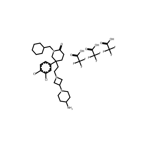 NC1CCN(C2CN(CCC3(c4ccc(Cl)c(Cl)c4)CCC(=O)N(CC4CCCCC4)C3)C2)CC1.O=C(O)C(F)(F)F.O=C(O)C(F)(F)F.O=C(O)C(F)(F)F